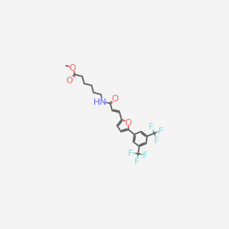 COC(=O)CCCCCNC(=O)/C=C/c1ccc(-c2cc(C(F)(F)F)cc(C(F)(F)F)c2)o1